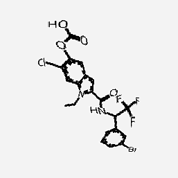 CCn1c(C(=O)NC(c2cccc(Br)c2)C(F)(F)F)cc2cc(OC(=O)O)c(Cl)cc21